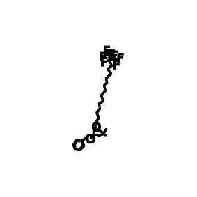 CC(C)(C)CC(COCCCCCCCCCCCCCCC(F)(C(F)(F)F)C(F)(F)F)OCc1ccccc1